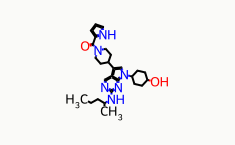 CCCC(C)Nc1ncc2c(C3CCN(C(=O)c4ccc[nH]4)CC3)cn(C3CCC(O)CC3)c2n1